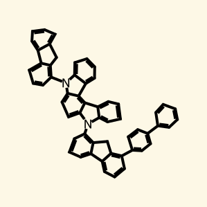 c1ccc(-c2ccc(-c3cccc4c3Cc3c-4cccc3-n3c4ccccc4c4c5c6ccccc6n(-c6cccc7c6Cc6ccccc6-7)c5ccc43)cc2)cc1